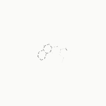 CCNC(C=O)Cc1ccc2ccccc2c1